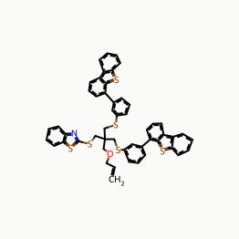 C=CCOCC(CSc1cccc(-c2cccc3c2sc2ccccc23)c1)(CSc1cccc(-c2cccc3c2sc2ccccc23)c1)CSc1nc2ccccc2s1